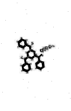 C[C@@H](c1ccccc1)N1CN([C@@H](C)c2ccccc2)CN([C@@H](C)c2ccccc2)C1.[Cl-].[Cl-].[Cl-].[Cr+3]